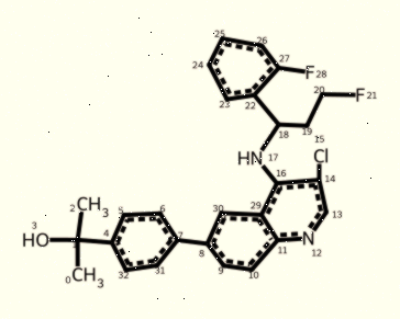 CC(C)(O)c1ccc(-c2ccc3ncc(Cl)c(NC(CCF)c4ccccc4F)c3c2)cc1